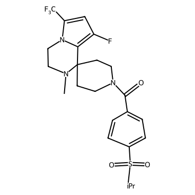 CC(C)S(=O)(=O)c1ccc(C(=O)N2CCC3(CC2)c2c(F)cc(C(F)(F)F)n2CCN3C)cc1